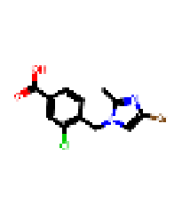 Cc1nc(Br)cn1Cc1ccc(C(=O)O)cc1Cl